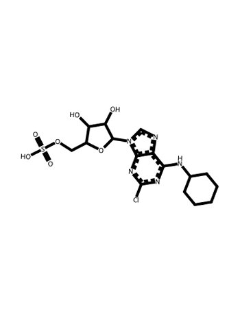 O=S(=O)(O)OCC1OC(n2cnc3c(NC4CCCCC4)nc(Cl)nc32)C(O)C1O